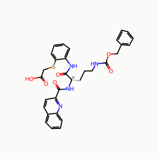 O=C(O)CSc1ccccc1NC(=O)[C@H](CCCNC(=O)OCc1ccccc1)NC(=O)c1ccc2ccccc2n1